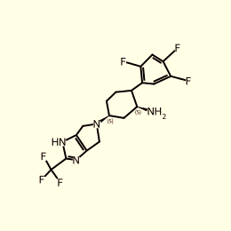 N[C@H]1C[C@@H](N2Cc3nc(C(F)(F)F)[nH]c3C2)CCC1c1cc(F)c(F)cc1F